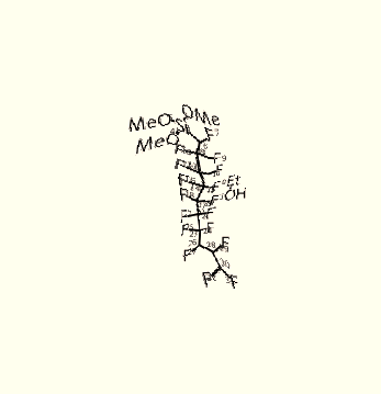 CCO.CO[Si](OC)(OC)C(F)C(F)(F)C(F)(F)C(F)(F)C(F)(F)C(F)(F)C(F)(F)C(F)C(F)C(F)F